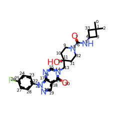 CC1(C)CC(NC(=O)N2CCC(O)(Cn3cnc4c(cnn4-c4ccc(F)cc4)c3=O)CC2)C1